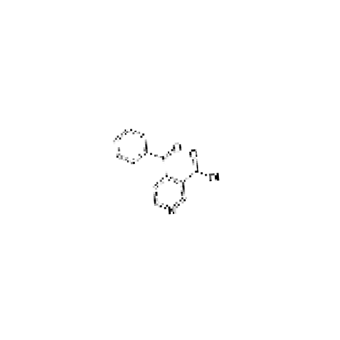 O=C(O)c1cnccc1C(=O)c1ccccc1